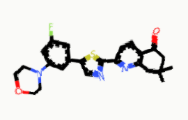 CC1(C)CC(=O)c2ccc(-c3ncc(-c4cc(F)cc(N5CCOCC5)c4)s3)nc2C1